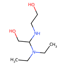 CCN(CC)C(CO)NCCO